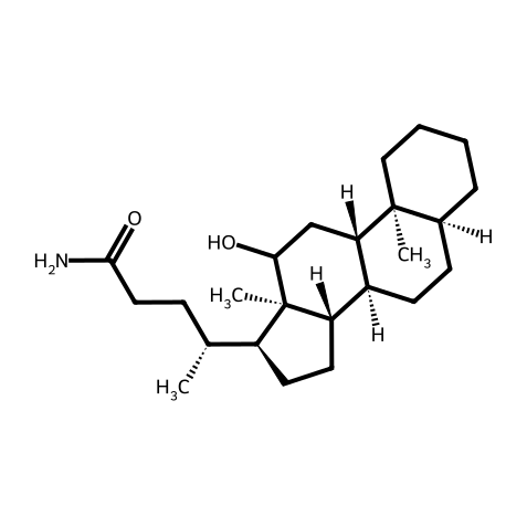 C[C@H](CCC(N)=O)[C@@H]1CC[C@H]2[C@@H]3CC[C@@H]4CCCC[C@]4(C)[C@H]3CC(O)[C@@]21C